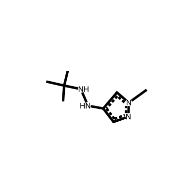 Cn1cc(NNC(C)(C)C)cn1